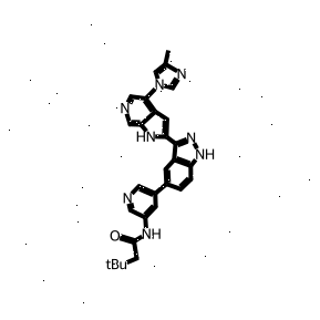 Cc1cn(-c2cncc3[nH]c(-c4n[nH]c5ccc(-c6cncc(NC(=O)CC(C)(C)C)c6)cc45)cc23)cn1